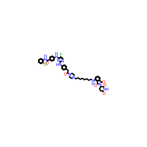 O=C1CCC(N2C(=O)c3cccc(NCCCCCCCCN4CCN(C(=O)Cc5ccc(Nc6ncc(F)c(Nc7ccc(C(=O)Nc8ccccc8Cl)cc7)n6)cc5)CC4)c3C2=O)C(=O)N1